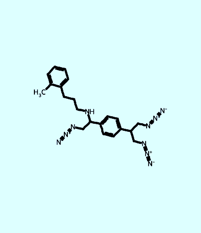 Cc1ccccc1CCCNC(CN=[N+]=[N-])c1ccc(C(CN=[N+]=[N-])CN=[N+]=[N-])cc1